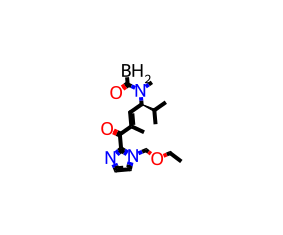 BC(=O)N(C)[C@H](/C=C(\C)C(=O)c1nccn1COCC)C(C)C